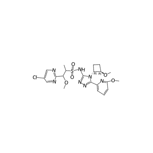 COc1cccc(-c2nnc(NS(=O)(=O)C(C)C(OC)c3ncc(Cl)cn3)n2[C@@H]2CC[C@H]2OC)n1